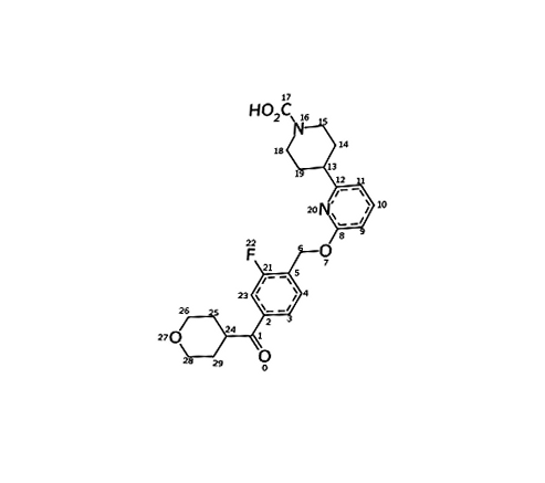 O=C(c1ccc(COc2cccc(C3CCN(C(=O)O)CC3)n2)c(F)c1)C1CCOCC1